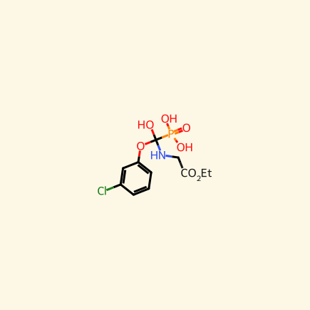 CCOC(=O)CNC(O)(Oc1cccc(Cl)c1)P(=O)(O)O